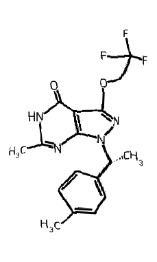 Cc1ccc([C@@H](C)n2nc(OCC(F)(F)F)c3c(=O)[nH]c(C)nc32)cc1